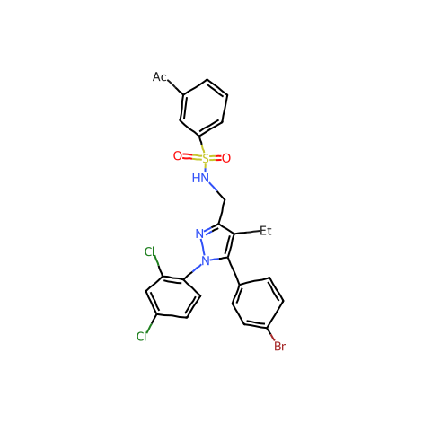 CCc1c(CNS(=O)(=O)c2cccc(C(C)=O)c2)nn(-c2ccc(Cl)cc2Cl)c1-c1ccc(Br)cc1